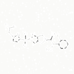 O=C([C@H](O)c1ccccc1F)N1Cc2cn(S(=O)(=O)c3ccn(CC(F)F)n3)nc2C1